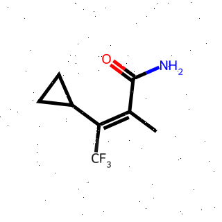 CC(C(N)=O)=C(C1CC1)C(F)(F)F